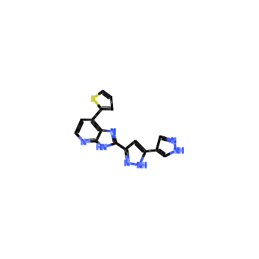 c1csc(-c2ccnc3[nH]c(-c4cc(-c5cn[nH]c5)[nH]n4)nc23)c1